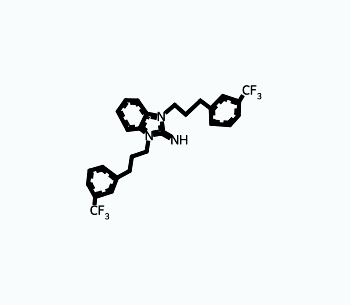 N=c1n(CCCc2cccc(C(F)(F)F)c2)c2ccccc2n1CCCc1cccc(C(F)(F)F)c1